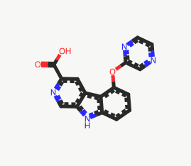 O=C(O)c1cc2c(cn1)[nH]c1cccc(Oc3cnccn3)c12